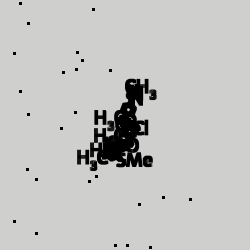 CSc1cc(C)[nH]c(=O)c1CNC(=O)c1cc(Cl)c2c(c1C)OC(C)(C1CCC(c3cn(C)nn3)CC1)O2